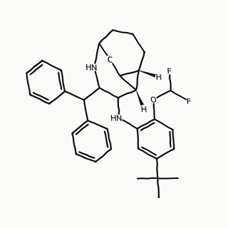 CC(C)(C)c1ccc(OC(F)F)c(NC2C(C(c3ccccc3)c3ccccc3)NC3CCC[C@H]4C(C3)[C@@H]24)c1